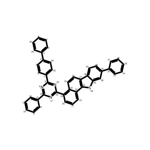 c1ccc(-c2ccc(-c3nc(-c4ccccc4)nc(-c4cccc5c4ccc4c6ccc(-c7ccccc7)cc6sc54)n3)cc2)cc1